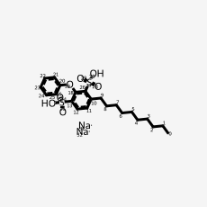 CCCCCCCCCCc1ccc(S(=O)(=O)O)c(Oc2ccccc2)c1S(=O)(=O)O.[Na].[Na]